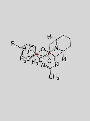 Cc1nc(-c2ccc(F)cc2)c2c(n1)[C@@H]1CCC[C@H](C2)N1C(=O)OC(C)(C)C